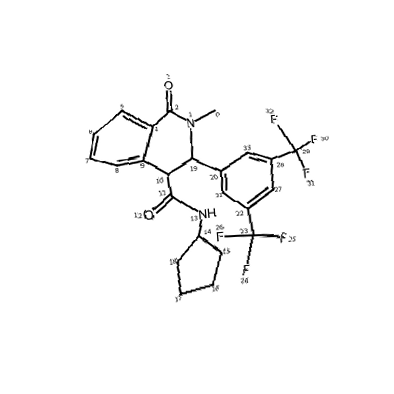 CN1C(=O)c2ccccc2C(C(=O)NC2CCCC2)C1c1cc(C(F)(F)F)cc(C(F)(F)F)c1